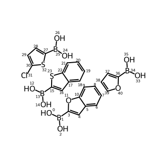 OB(O)c1cc2ccccc2o1.OB(O)c1cc2ccccc2s1.OB(O)c1ccc(Cl)s1.OB(O)c1ccco1